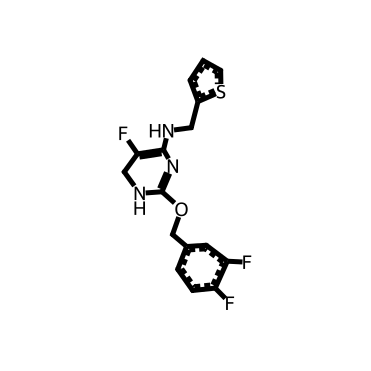 FC1=C(NCc2cccs2)N=C(OCc2ccc(F)c(F)c2)NC1